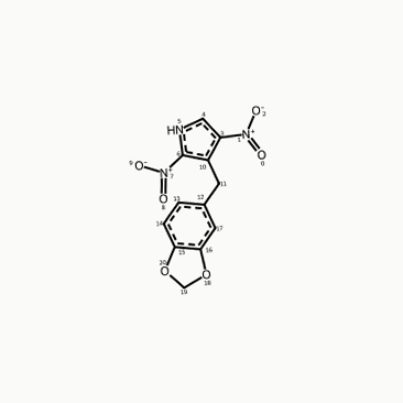 O=[N+]([O-])c1c[nH]c([N+](=O)[O-])c1Cc1ccc2c(c1)OCO2